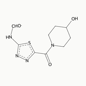 O=[C]Nc1nnc(C(=O)N2CCC(O)CC2)s1